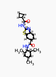 Cc1cc(C)c(NC(=O)c2ccc3nc(NC(=O)C4CCC4)sc3c2)c(C)c1